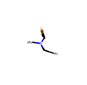 CC(C)CN([C]=S)C(C)(C)C